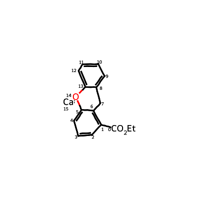 CCOC(=O)c1cccc2c1Cc1ccccc1O2.[Ca]